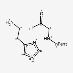 CCCCCNCC(=O)I.NCCc1c[nH]cn1